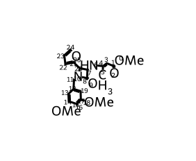 COC(=O)/C=C(\C)NC1C(=O)N(Cc2ccc(OC)c(OC)c2)C1c1ccco1